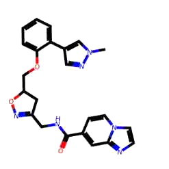 Cn1cc(-c2ccccc2OCC2CC(CNC(=O)c3ccn4ccnc4c3)=NO2)cn1